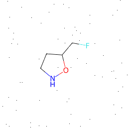 FCC1CCNO1